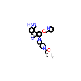 C=CC(=O)N1CCC2(CC1)CCN(c1cc(OCc3ccccn3)cc(-c3c(C)ccc4[nH]ncc34)c1C#N)C2